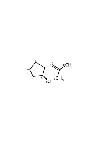 CC(C)=C[C@H]1CCC[C@@H]1Cl